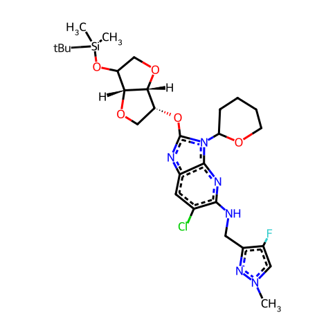 Cn1cc(F)c(CNc2nc3c(cc2Cl)nc(O[C@@H]2CO[C@@H]4C(O[Si](C)(C)C(C)(C)C)CO[C@@H]42)n3C2CCCCO2)n1